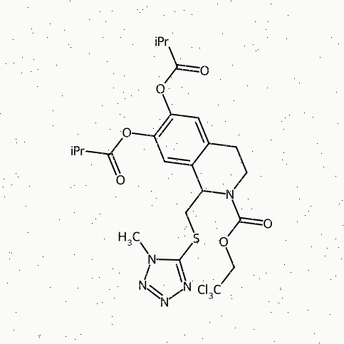 CC(C)C(=O)Oc1cc2c(cc1OC(=O)C(C)C)C(CSc1nnnn1C)N(C(=O)OCC(Cl)(Cl)Cl)CC2